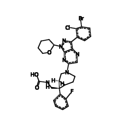 O=C(O)NC[C@]1(c2ccccc2F)[C@@H]2CCN(c3cnc4c(-c5cccc(Br)c5Cl)nn(C5CCCCO5)c4n3)C[C@@H]21